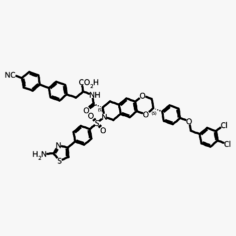 N#Cc1ccc(-c2ccc(CC(NC(=O)[C@@H]3Cc4cc5c(cc4CN3S(=O)(=O)c3ccc(-c4csc(N)n4)cc3)O[C@@H](c3ccc(OCc4ccc(Cl)c(Cl)c4)cc3)CO5)C(=O)O)cc2)cc1